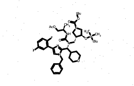 CC(=O)OC[C@@H](C)NC(=O)N(C[C@@H]1CN(C(=O)OC(C)(C)C)C[C@H]1O[Si](C)(C)C(C)(C)C)[C@@H](c1nc(-c2cc(F)ccc2F)cn1Cc1ccccc1)C1CCOCC1